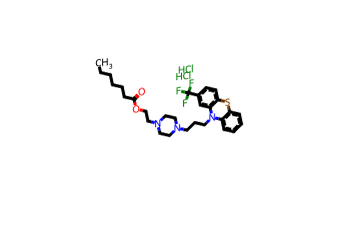 CCCCCCC(=O)OCCN1CCN(CCCN2c3ccccc3Sc3ccc(C(F)(F)F)cc32)CC1.Cl.Cl